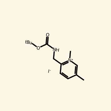 Cc1ccc(CNC(=O)OC(C)(C)C)[n+](C)c1.[I-]